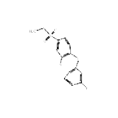 CCS(=O)(=O)c1ccc(Oc2c[c]cc(F)c2)c(Cl)c1